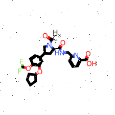 CC(=O)N1CC(c2ccc(OC(F)F)c(OC3CCCC3)c2)C[C@@H]1C(=O)NCc1cccc(C(=O)O)n1